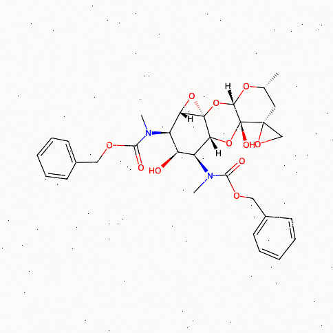 C[C@@H]1C[C@@]2(CO2)[C@]2(O)O[C@@H]3[C@@H](N(C)C(=O)OCc4ccccc4)[C@@H](O)[C@@H](N(C)C(=O)OCc4ccccc4)[C@@H]4O[C@]34O[C@@H]2O1